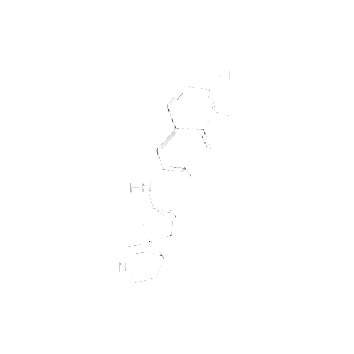 Fc1c(Cl)ccc2cc(NC3=NC[C@@]4(CN5CCC4CC5)O3)ncc12